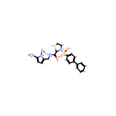 Cc1ccc(CNC(=O)C2SCCN2S(=O)(=O)c2ccc(-c3ccccc3)cc2)n1C